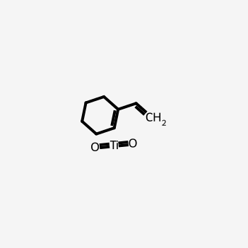 C=CC1=CCCCC1.[O]=[Ti]=[O]